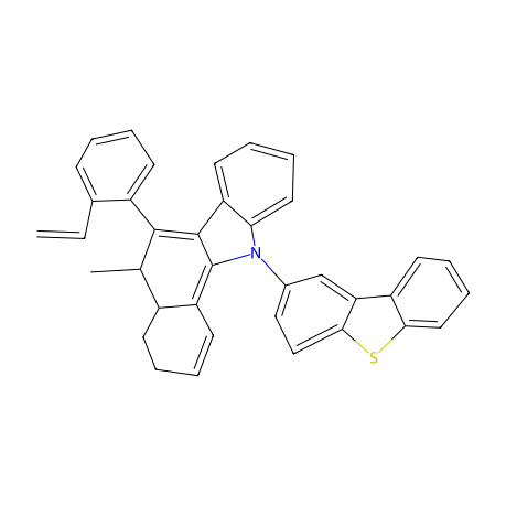 C=Cc1ccccc1C1=c2c(n(-c3ccc4sc5ccccc5c4c3)c3ccccc23)=C2C=CCCC2C1C